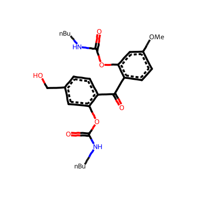 CCCCNC(=O)Oc1cc(CO)ccc1C(=O)c1ccc(OC)cc1OC(=O)NCCCC